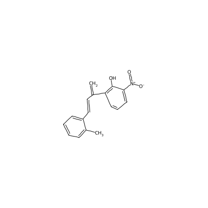 C=C(/C=C/c1ccccc1C)c1cccc([N+](=O)[O-])c1O